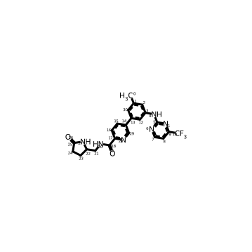 Cc1cc(Nc2nccc(C(F)(F)F)n2)cc(-c2ccc(C(=O)NCC3CCC(=O)N3)nc2)c1